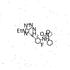 CCn1nc(C#Cc2ccc(F)c(NC(=O)N3OCC[C@@H]3c3ccccc3)c2)c2c(N)ncnc21